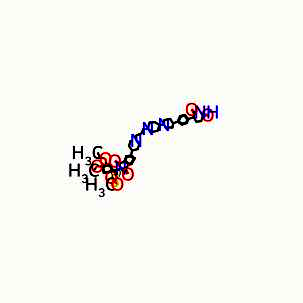 CCOc1cc([C@@H](CS(C)(=O)=O)N2C(=O)c3ccc(C4CCN(CCCN5CCC(N6CCC(c7ccc(C8CCC(=O)NC8=O)cc7)CC6)CC5)CC4)cc3C2=O)ccc1OC